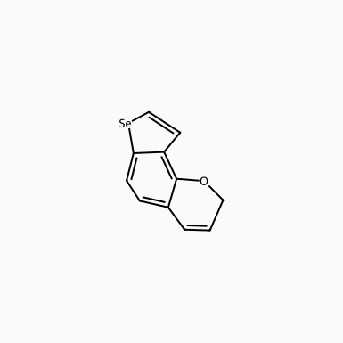 C1=Cc2ccc3[se]ccc3c2OC1